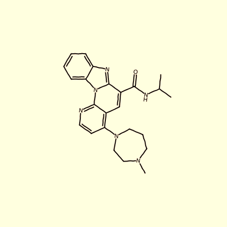 CC(C)NC(=O)c1cc2c(N3CCCN(C)CC3)ccnc2n2c1nc1ccccc12